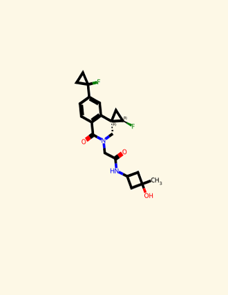 CC1(O)CC(NC(=O)CN2C[C@@]3(C[C@H]3F)c3cc(C4(F)CC4)ccc3C2=O)C1